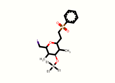 CC[Si](CC)(CC)O[C@H]1C(C)C(CI)OC(CCS(=O)(=O)c2ccccc2)C1C